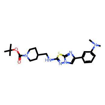 CN(C)c1cccc(-c2cn3nc(NCC4CCN(C(=O)OC(C)(C)C)CC4)sc3n2)c1